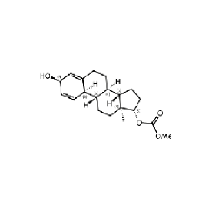 COC(=O)O[C@H]1CC[C@H]2[C@@H]3CCC4=C[C@H](O)C=C[C@@H]4[C@H]3CC[C@]12C